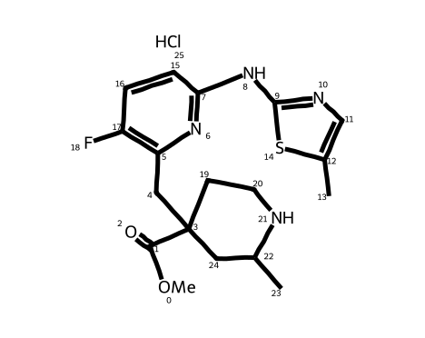 COC(=O)C1(Cc2nc(Nc3ncc(C)s3)ccc2F)CCNC(C)C1.Cl